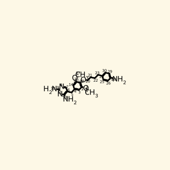 COc1cc(Cc2cnc(N)nc2N)cc(OC)c1OCCCCc1ccc(N)cc1